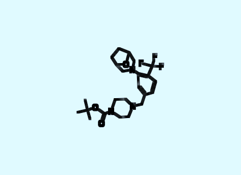 CC(C)(C)OC(=O)N1CCN(Cc2ccc(C(F)(F)F)c(N3CC4CCC(C3)O4)c2)CC1